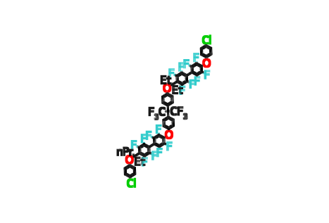 CCCC(CC)(Oc1ccc(Cl)cc1)c1c(F)c(F)c(-c2c(F)c(F)c(Oc3ccc(C(c4ccc(OC(CC)(CC)c5c(F)c(F)c(-c6c(F)c(F)c(Oc7ccc(Cl)cc7)c(F)c6F)c(F)c5F)cc4)(C(F)(F)F)C(F)(F)F)cc3)c(F)c2F)c(F)c1F